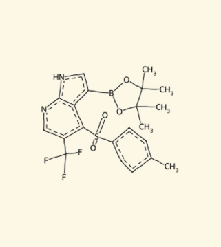 Cc1ccc(S(=O)(=O)c2c(C(F)(F)F)cnc3[nH]cc(B4OC(C)(C)C(C)(C)O4)c23)cc1